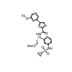 CCOc1cncc(-c2cnc(C(=O)N[C@@H](CCOC)c3cc(NS(=O)(=O)C4CC4)ccn3)s2)n1